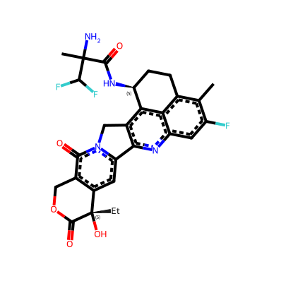 CC[C@@]1(O)C(=O)OCc2c1cc1n(c2=O)Cc2c-1nc1cc(F)c(C)c3c1c2[C@@H](NC(=O)C(C)(N)C(F)F)CC3